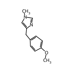 COc1ccc(Cc2cn(C)cn2)cc1